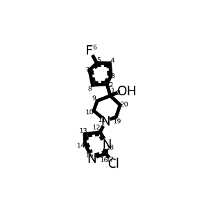 OC1(c2ccc(F)cc2)CCN(c2ccnc(Cl)n2)CC1